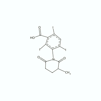 CC1CCC(=O)N(c2c(I)cc(I)c(C(=O)O)c2I)C1=O